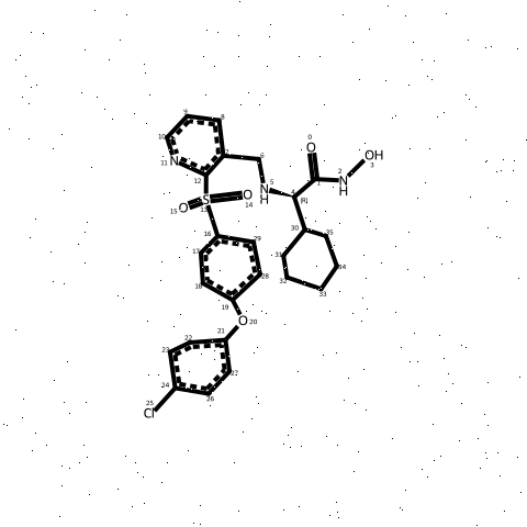 O=C(NO)[C@H](NCc1cccnc1S(=O)(=O)c1ccc(Oc2ccc(Cl)cc2)cc1)C1CCCCC1